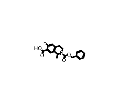 CC1c2cc(C(=O)O)c(F)cc2CCN1C(=O)OCc1ccccc1